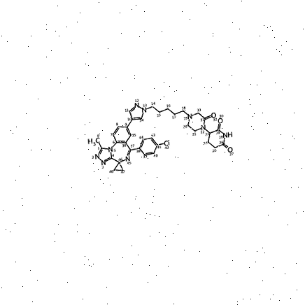 Cc1nnc2n1-c1ccc(-c3cnn(CCCCCN4CCN(C5CCC(=O)NC5=O)C(=O)C4)c3)cc1C(c1ccc(Cl)cc1)=NC21CC1